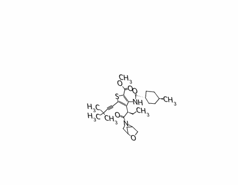 CC[C@@H](C(=O)N1CC2CC1CO2)c1c(C#CC(C)(C)C)sc(C(=O)OC)c1NC(=O)[C@H]1CC[C@H](C)CC1